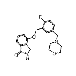 O=C1NCc2c(OCc3cc(CN4CCOCC4)ccc3F)cccc21